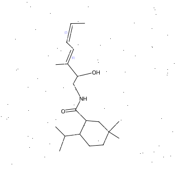 C/C=C\C=C(/C)C(O)CNC(=O)C1CC(C)(C)CCC1C(C)C